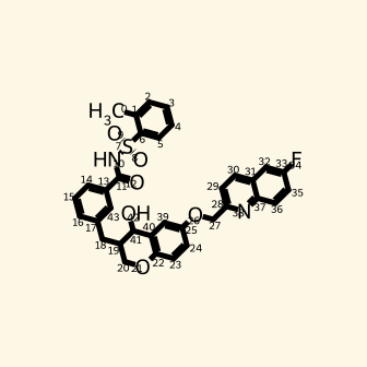 Cc1ccccc1S(=O)(=O)NC(=O)c1cccc(CC2COc3ccc(OCc4ccc5cc(F)ccc5n4)cc3C2O)c1